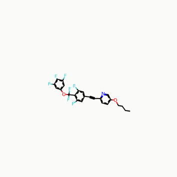 CCCCOc1ccc(C#Cc2cc(F)c(C(F)(F)Oc3cc(F)c(F)c(F)c3)c(F)c2)nc1